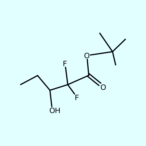 CCC(O)C(F)(F)C(=O)OC(C)(C)C